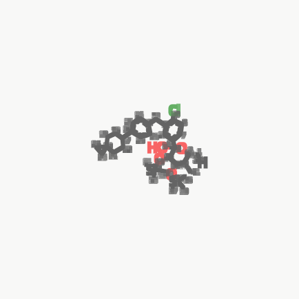 [3H]C[C@H]1OC(O)(c2ccc(Cl)c(Cc3ccc(C4CCC5(CC4)CC5)cc3)c2)[C@H](O[Si](C)(C)C)[C@@H](O[Si](C)(C)C)[C@@H]1C